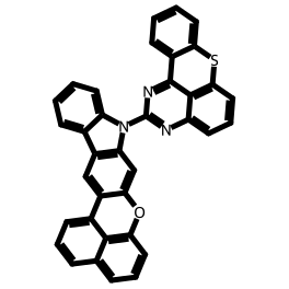 c1ccc2c(c1)Sc1cccc3nc(-n4c5ccccc5c5cc6c(cc54)Oc4cccc5cccc-6c45)nc-2c13